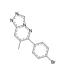 Cc1cc2nncn2nc1-c1ccc(Br)cc1